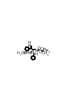 COc1ccc2[nH]cc(C(CNC(=O)OC(C)(C)C)N(O)Cc3ccccc3)c2c1